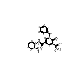 CNC(=O)c1cc(C(=O)N[C@@H]2CCCC[C@@H]2O)cn(Cc2ccccc2)c1=O